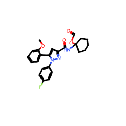 COc1ccccc1-c1cc(C(=O)NC2(OC=O)CCCCC2)nn1-c1ccc(F)cc1